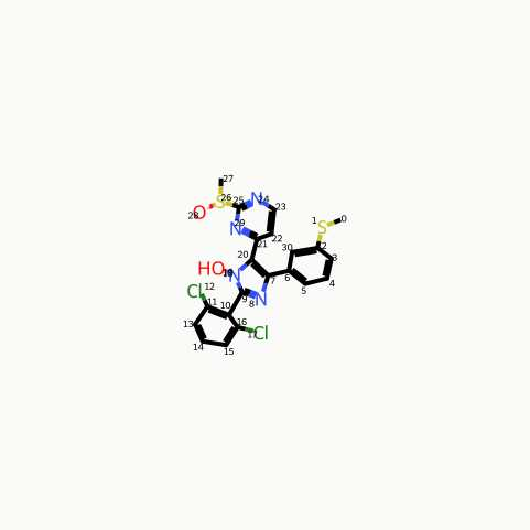 CSc1cccc(-c2nc(-c3c(Cl)cccc3Cl)n(O)c2-c2ccnc([S+](C)[O-])n2)c1